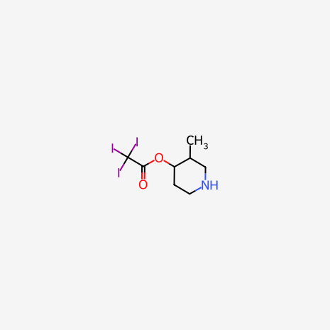 CC1CNCCC1OC(=O)C(I)(I)I